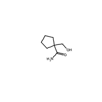 NC(=O)C1([CH]O)CCCC1